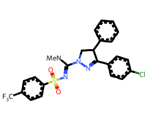 CN/C(=N\S(=O)(=O)c1ccc(C(F)(F)F)cc1)N1CC(c2ccccc2)C(c2ccc(Cl)cc2)=N1